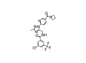 Cc1nc([C@H](C)NC(=O)c2cc(Cl)cc(C(F)(F)F)c2)n(-c2ccc(C(=O)N3CCC3)cn2)n1